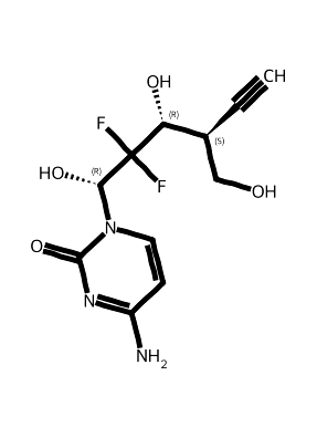 C#C[C@@H](CO)[C@@H](O)C(F)(F)[C@@H](O)n1ccc(N)nc1=O